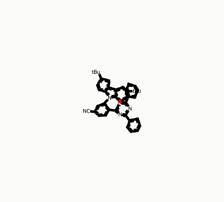 CC(C)(C)c1ccc2c(c1)c1cc(C(C)(C)C)ccc1n2-c1cc(C#N)ccc1-c1nc(-c2ccccc2)nc(-c2ccccc2)n1